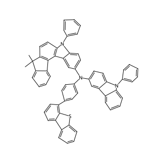 CC1(C)c2ccccc2-c2c1ccc1c2c2cc(N(c3ccc(-c4cccc5c4sc4ccccc45)cc3)c3ccc4c(c3)c3ccccc3n4-c3ccccc3)ccc2n1-c1ccccc1